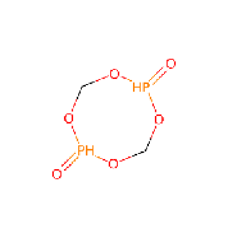 O=[PH]1OCO[PH](=O)OCO1